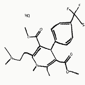 COC(=O)C1=C(C)N(C)C(CCN(C)C)=C(C(=O)OC)C1c1ccc(C(F)(F)F)cc1.Cl